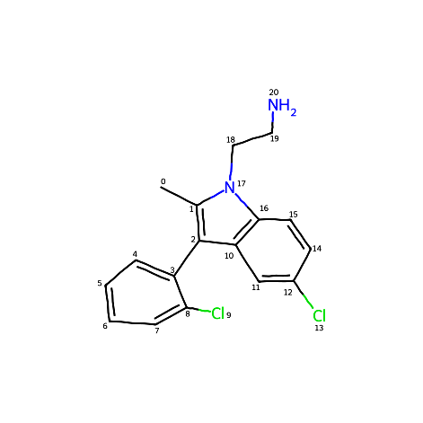 Cc1c(-c2ccccc2Cl)c2cc(Cl)ccc2n1CCN